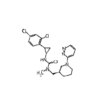 CN(C[C@@H]1CCCN(c2cccnn2)C1)C(=O)NC1CC1c1ccc(Cl)cc1Cl